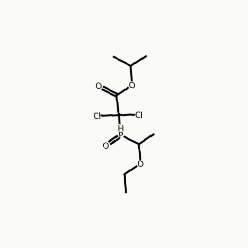 CCOC(C)[PH](=O)C(Cl)(Cl)C(=O)OC(C)C